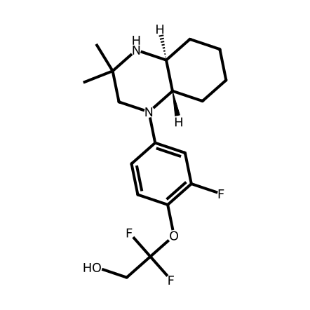 CC1(C)CN(c2ccc(OC(F)(F)CO)c(F)c2)[C@H]2CCCC[C@@H]2N1